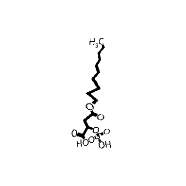 CCCCCCCCCCOC(=O)CC(OS(=O)(=O)O)C(=O)O